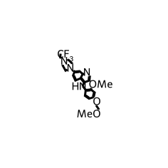 COCCOc1ccc(Nc2ccnc3cc(N4CCN(CC(F)(F)F)CC4)ccc23)c(OC)c1